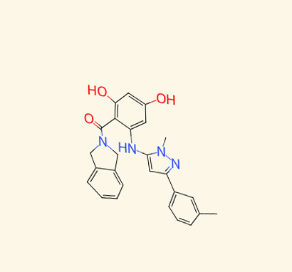 Cc1cccc(-c2cc(Nc3cc(O)cc(O)c3C(=O)N3Cc4ccccc4C3)n(C)n2)c1